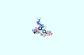 CC1(NS(=O)(=O)c2cc(N3CCC(C(C)(C)O)CC3)c3c(Cl)nc(-c4nnc(C(F)F)s4)n3c2)CC1